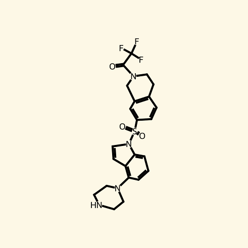 O=C(N1CCc2ccc(S(=O)(=O)n3ccc4c(N5CCNCC5)cccc43)cc2C1)C(F)(F)F